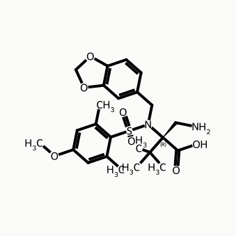 COc1cc(C)c(S(=O)(=O)N(Cc2ccc3c(c2)OCO3)[C@](CN)(C(=O)O)C(C)(C)C)c(C)c1